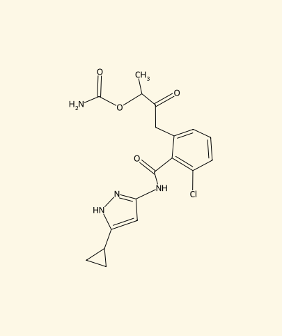 CC(OC(N)=O)C(=O)Cc1cccc(Cl)c1C(=O)Nc1cc(C2CC2)[nH]n1